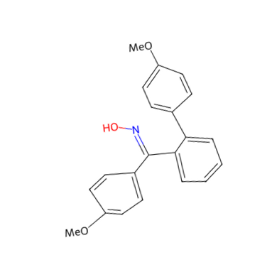 COc1ccc(C(=NO)c2ccccc2-c2ccc(OC)cc2)cc1